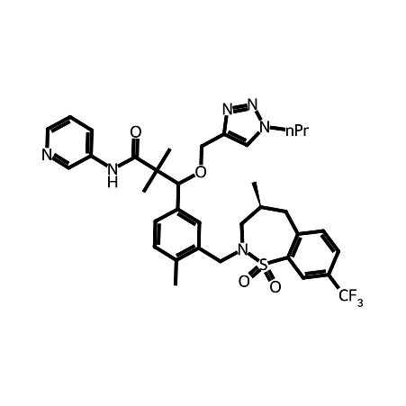 CCCn1cc(COC(c2ccc(C)c(CN3C[C@@H](C)Cc4ccc(C(F)(F)F)cc4S3(=O)=O)c2)C(C)(C)C(=O)Nc2cccnc2)nn1